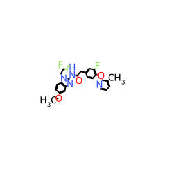 COc1ccc2c(c1)nc(NC(=O)Cc1ccc(Oc3ncccc3C)c(F)c1)n2CC(F)F